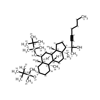 CCCCC#CC(C)(O)[C@H]1CC[C@H]2[C@@H]3C[C@H](O[Si](C)(C)C(C)(C)C)[C@H]4C[C@@H](O[Si](C)(C)C(C)(C)C)CC[C@]4(C)[C@H]3CC[C@]12C